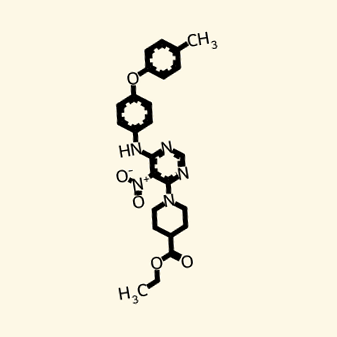 CCOC(=O)C1CCN(c2ncnc(Nc3ccc(Oc4ccc(C)cc4)cc3)c2[N+](=O)[O-])CC1